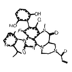 C=CC(=O)N1CCN2c3nc(=O)n(-c4c(C)ccnc4C(C)C)c4c(F)c(-c5c(O)cccc5O)c(Cl)c(c34)N(C)C(=O)C2C1